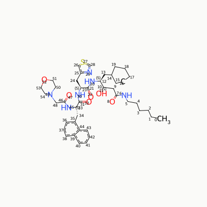 CCCCCCNC(=O)C[C@H](O)[C@H](CC1CCCCC1)NC(=O)[C@H](Cc1cscn1)NC(=O)[C@H](Cc1cccc2ccccc12)NC(=O)CN1CCOCC1